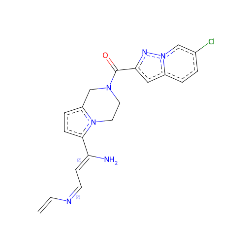 C=C/N=C\C=C(/N)c1ccc2n1CCN(C(=O)c1cc3ccc(Cl)cn3n1)C2